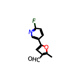 Cc1oc(-c2ccc(F)nc2)cc1C=O